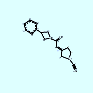 N#CN1CC/C(=C\C(=O)N2CC(c3ccccc3)C2)C1